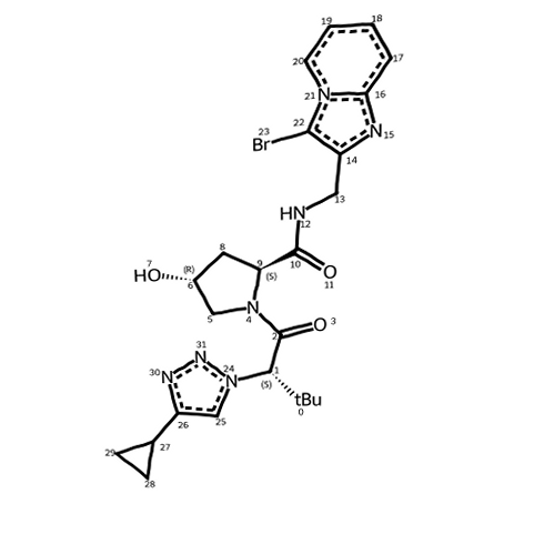 CC(C)(C)[C@@H](C(=O)N1C[C@H](O)C[C@H]1C(=O)NCc1nc2ccccn2c1Br)n1cc(C2CC2)nn1